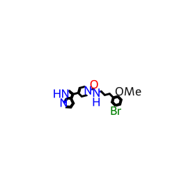 COc1ccc(Br)cc1CCCNC(=O)N1CC=C(c2c[nH]c3ncccc23)CC1